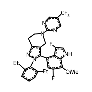 CCc1cccc(CC)c1-n1nc2c(c1-c1cc(F)c(OC)c3[nH]cc(F)c13)CN(c1ncc(C(F)(F)F)cn1)CC2